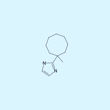 CC1(C2=NC=C[N]2)CCCCCCC1